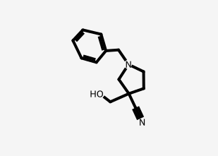 N#CC1(CO)CCN(Cc2ccccc2)C1